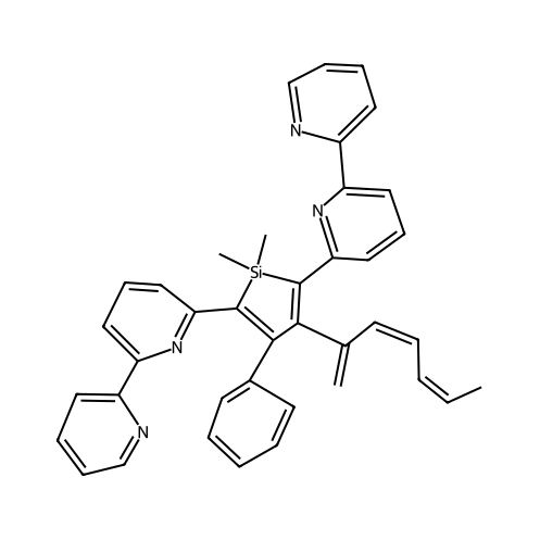 C=C(/C=C\C=C/C)C1=C(c2cccc(-c3ccccn3)n2)[Si](C)(C)C(c2cccc(-c3ccccn3)n2)=C1c1ccccc1